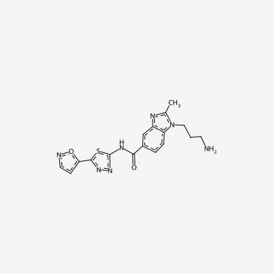 Cc1nc2cc(C(=O)Nc3nnc(-c4ccno4)s3)ccc2n1CCCN